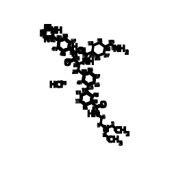 CCN(CC)CCNC(=O)c1cccc(-c2cccc(C[C@H](NC(=O)C3CCC(CN)CC3)C(=O)Nc3ccc(-c4nnn[nH]4)cc3)c2)c1.Cl